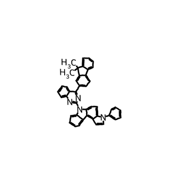 CC1(C)c2ccccc2-c2ccc(-c3nc(-n4c5ccccc5c5c6ccn(-c7ccccc7)c6ccc54)nc4ccccc34)cc21